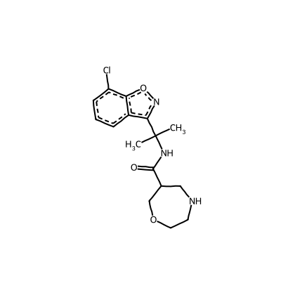 CC(C)(NC(=O)C1CNCCOC1)c1noc2c(Cl)cccc12